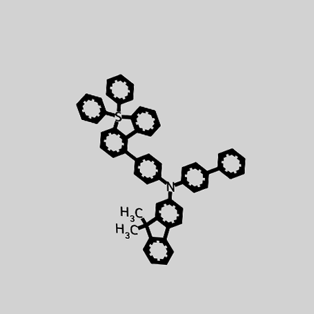 CC1(C)c2ccccc2-c2ccc(N(c3ccc(-c4ccccc4)cc3)c3ccc(-c4cccc5c4-c4ccccc4S5(c4ccccc4)c4ccccc4)cc3)cc21